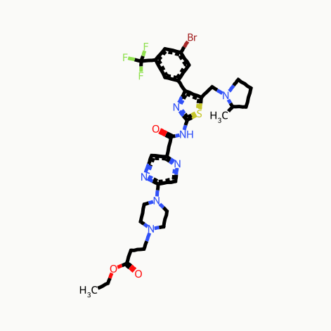 CCOC(=O)CCN1CCN(c2cnc(C(=O)Nc3nc(-c4cc(Br)cc(C(F)(F)F)c4)c(CN4CCCC4C)s3)cn2)CC1